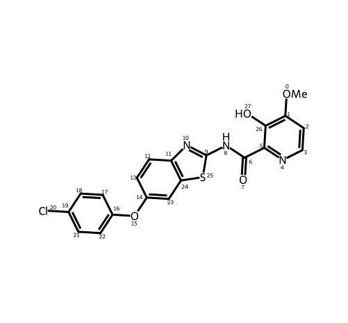 COc1ccnc(C(=O)Nc2nc3ccc(Oc4ccc(Cl)cc4)cc3s2)c1O